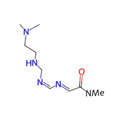 CNC(=O)/C=N/C=N\CNCCN(C)C